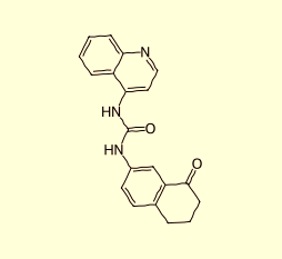 O=C(Nc1ccc2c(c1)C(=O)CCC2)Nc1ccnc2ccccc12